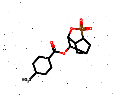 O=C(OC1C2CC3C1OS(=O)(=O)C3C2)C1CCC(S(=O)(=O)O)CC1